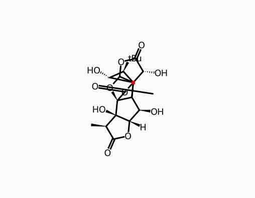 C[C@@H]1C(=O)O[C@H]2[C@H](O)C34C5OC(=O)[C@@]3(OC3OC(=O)[C@H](O)C34[C@H](C(C)(C)C)[C@H]5O)[C@@]12O